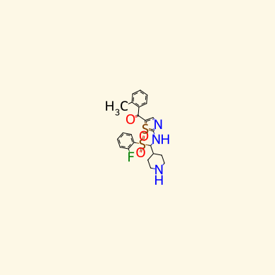 Cc1ccccc1C(=O)c1cnc(NC(C2CCNCC2)S(=O)(=O)c2ccccc2F)s1